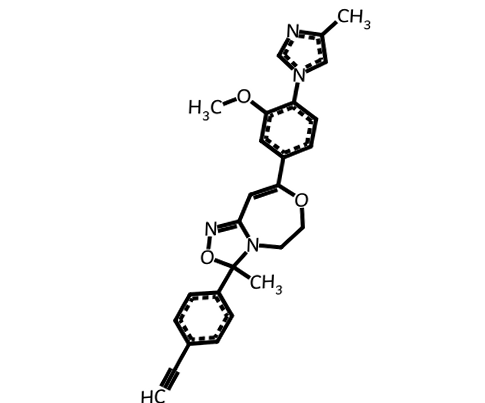 C#Cc1ccc(C2(C)ON=C3C=C(c4ccc(-n5cnc(C)c5)c(OC)c4)OCCN32)cc1